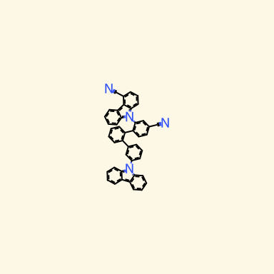 N#Cc1ccc(-c2ccccc2-c2cccc(-n3c4ccccc4c4ccccc43)c2)c(-n2c3ccccc3c3c(C#N)cccc32)c1